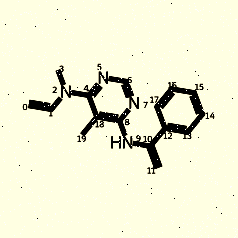 C=CN(C)c1ncnc(NC(=C)c2ccccc2)c1C